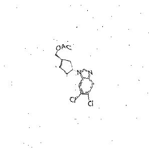 CC(=O)OC[C@@H]1[CH][CH][C@@H](n2cnc3cc(Cl)c(Cl)cc32)C1